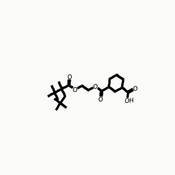 CC(C)(C)CC(C)(C(=O)OCCOC(=O)C1CCCC(C(=O)O)C1)C(C)(C)C